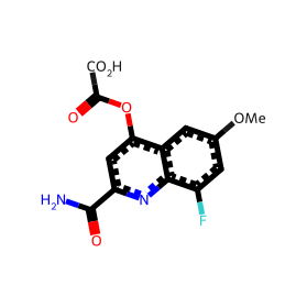 COc1cc(F)c2nc(C(N)=O)cc(OC(=O)C(=O)O)c2c1